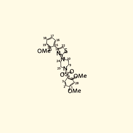 COc1ccc(S(=O)(=O)N2CCN(c3nc(-c4ccccc4OC)cs3)CC2)c(OC)c1